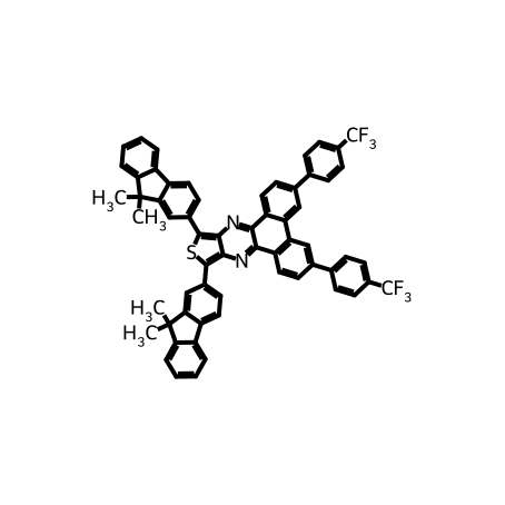 CC1(C)c2ccccc2-c2ccc(-c3sc(-c4ccc5c(c4)C(C)(C)c4ccccc4-5)c4nc5c6ccc(-c7ccc(C(F)(F)F)cc7)cc6c6cc(-c7ccc(C(F)(F)F)cc7)ccc6c5nc34)cc21